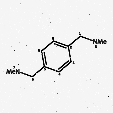 CNCc1ccc(CNC)cc1